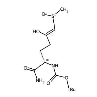 C[S+]([O-])/C=C(\O)CC[C@H](NC(=O)OC(C)(C)C)C(N)=O